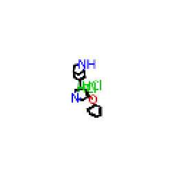 C1=C(c2cncc(Oc3ccccc3)c2)CC2CNC1C2.Cl.Cl